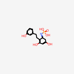 O=P(O)(O)N=C1CC(O)=CC(O)=C1CCc1cccc(O)c1